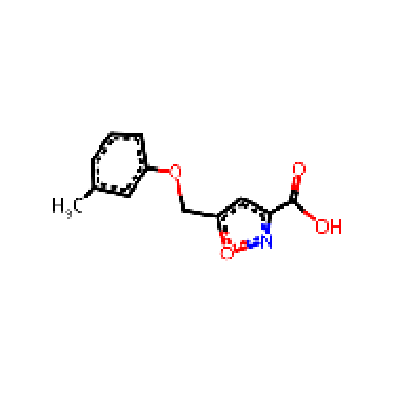 Cc1cccc(OCc2cc(C(=O)O)no2)c1